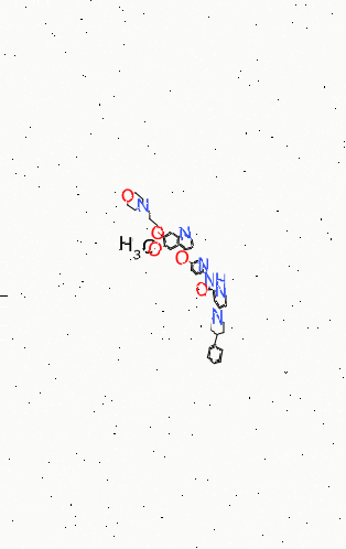 COc1cc2c(Oc3ccc(NC(=O)c4cc(N5CCC(c6ccccc6)CC5)ccn4)nc3)ccnc2cc1OCCCN1CCOCC1